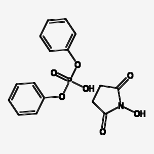 O=C1CCC(=O)N1O.O=P(O)(Oc1ccccc1)Oc1ccccc1